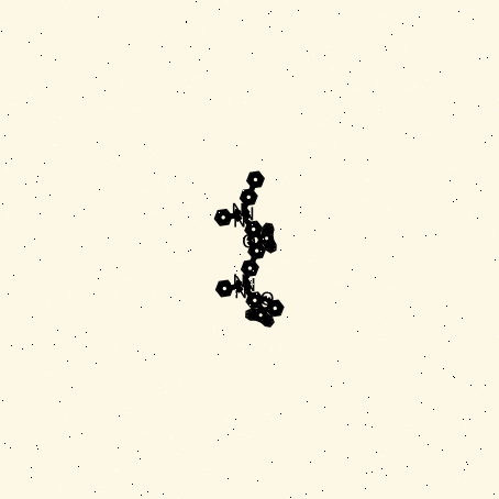 c1ccc(-c2ccc(-c3nc(-c4ccccc4)nc(-c4ccc5c(c4)Oc4cc(-c6ccc(-c7nc(-c8ccccc8)nc(-c8ccc9c(c8)Oc8ccccc8C98c9ccccc9-c9ccccc98)n7)cc6)ccc4C54c5ccccc5-c5ccccc54)n3)cc2)cc1